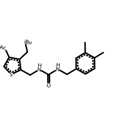 CCC(C)Cc1c(C(C)=O)csc1CNC(=O)NCc1ccc(C)c(C)c1